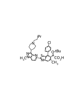 Cc1cc2nc(-c3ccc4c(n3)c(C3CCN(CCC(C)C)CC3)nn4C)sc2c(-c2ccc(Cl)cc2)c1[C@H](OC(C)(C)C)C(=O)O